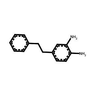 Nc1ccc(CCc2ccccc2)cc1N